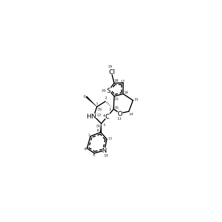 C[C@H]1C[C@@]2(C[C@@H](c3cccnc3)N1)OCCc1cc(Cl)sc12